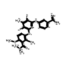 COc1ccc(Oc2nc(Oc3cccc(C(=N)N)c3)c(F)c(C)c2F)c(C)c1C(=O)N(C)C